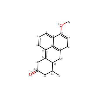 COC1=CCC2=c3c1cccc3=C1CC(=O)CC(C)C1C2